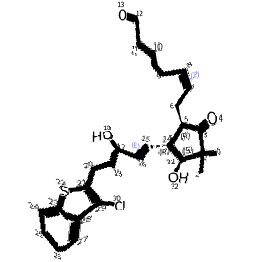 CC1(C)C(=O)[C@H](C/C=C\CCCC=O)[C@@H](/C=C/C(O)CCc2sc3ccccc3c2Cl)[C@@H]1O